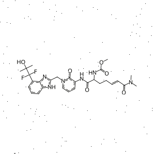 COC(=O)NC(CCC=CC(=O)N(C)C)C(=O)Nc1cccn(Cc2nc3c(C(F)(F)C(C)(C)O)cccc3[nH]2)c1=O